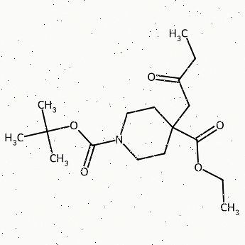 CCOC(=O)C1(CC(=O)CC)CCN(C(=O)OC(C)(C)C)CC1